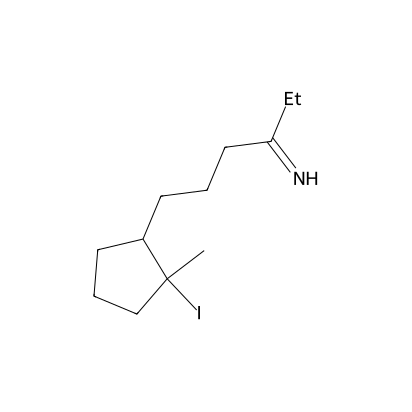 CCC(=N)CCCC1CCCC1(C)I